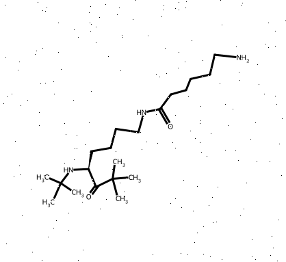 CC(C)(C)N[C@@H](CCCCNC(=O)CCCCCN)C(=O)C(C)(C)C